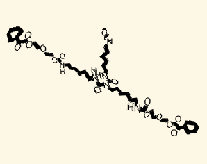 O=C=NCCCCCCNC(=O)N(CCCCCCNC(=O)OCCOCCOC(=O)C(=O)c1ccccc1)C(=O)NCCCCCCNC(=O)OCCOCCOC(=O)C(=O)c1ccccc1